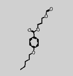 CCCCCOc1ccc(C(=O)OCCCOC=O)cc1